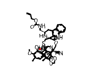 C=CCOC(=O)NC[C@H]1Cc2c([nH]c3ccccc23)[C@@]2(CS[C@@H]3c4c(C)c(C)c5c(c4[C@H](COC2=O)N2[C@@H]3[C@H]3c4c(cc(C)c(OC)c4O)C[C@@H]([C@@H]2C#N)N3C)OCO5)N1